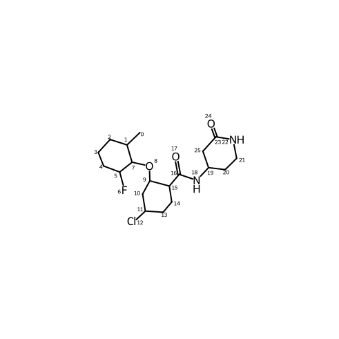 CC1CCCC(F)C1OC1CC(Cl)CCC1C(=O)NC1CCNC(=O)C1